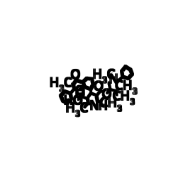 CC1=C(C(=O)O)C(c2cccc3c(=O)c(C)c(-c4ccccc4)oc23)C(C(=O)OC(CN(C)Cc2ccccc2)C(C)C)=C(C)N1